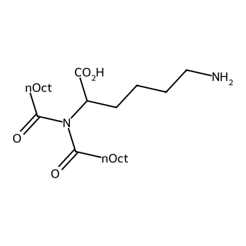 CCCCCCCCC(=O)N(C(=O)CCCCCCCC)C(CCCCN)C(=O)O